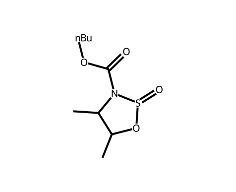 CCCCOC(=O)N1C(C)C(C)OS1=O